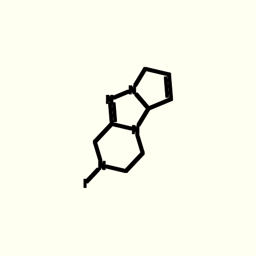 IN1CCN2C(=NN3CC=CC32)C1